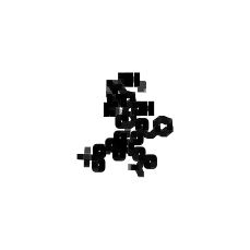 CC(C)C(=O)OCOP(=O)(OCOC(=O)C(C)(C)C)OC[C@H]1O[C@@](C#N)(c2ccc3c(N)ncnn23)[C@H](O)[C@@H]1OC(=O)Cc1ccccc1